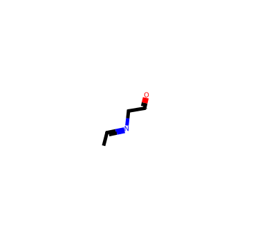 CC=NC[C]=O